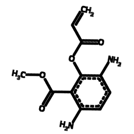 C=CC(=O)Oc1c(N)ccc(N)c1C(=O)OC